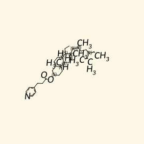 CC[C@H](CC[C@@H](C)[C@H]1CC[C@H]2[C@@H]3CC=C4C[C@@H](OC(=O)CCc5ccncc5)CC[C@]4(C)[C@H]3CC[C@]12C)C(C)C